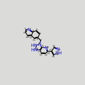 c1cnc2ccc(CN3NNc4ccc(-c5cn[nH]c5)nc43)cc2c1